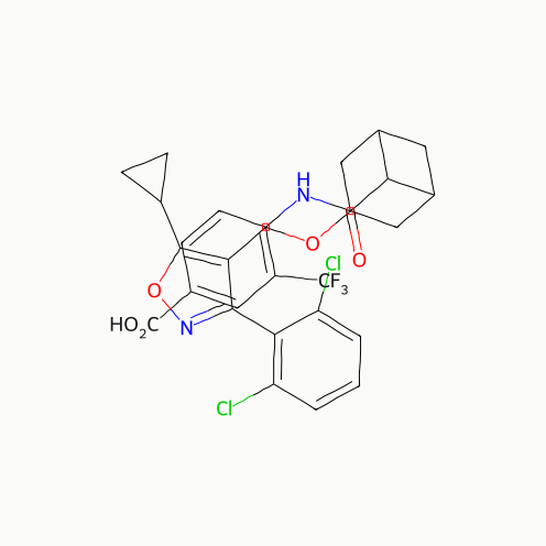 O=C(O)c1ccc(NC(=O)C2C3CC(OCc4c(-c5c(Cl)cccc5Cl)noc4C4CC4)CC2C3)c(C(F)(F)F)c1